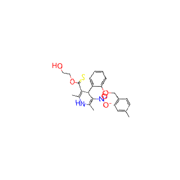 CC1=C(C(=S)OCCO)C(c2ccccc2OCc2ccc(C)cc2)C([N+](=O)[O-])=C(C)N1